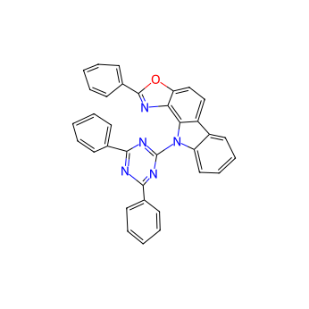 c1ccc(-c2nc(-c3ccccc3)nc(-n3c4ccccc4c4ccc5oc(-c6ccccc6)nc5c43)n2)cc1